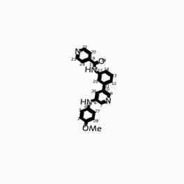 COc1ccc(Nc2cncc(-c3cccc(NC(=O)c4ccncc4)c3)c2)cc1